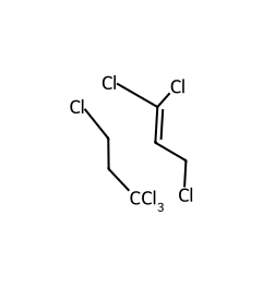 ClCC=C(Cl)Cl.ClCCC(Cl)(Cl)Cl